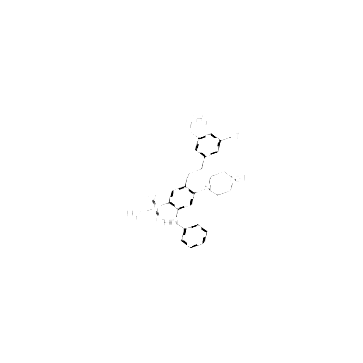 COc1cc(Cl)cc(CCc2cc(S(C)(=O)=O)c(Nc3ccccc3)cc2N2CCNCC2)c1